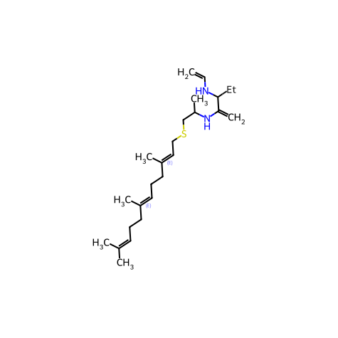 C=CNC(CC)C(=C)NC(C)CSC/C=C(\C)CC/C=C(\C)CCC=C(C)C